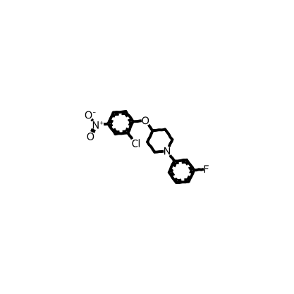 O=[N+]([O-])c1ccc(OC2CCN(c3cccc(F)c3)CC2)c(Cl)c1